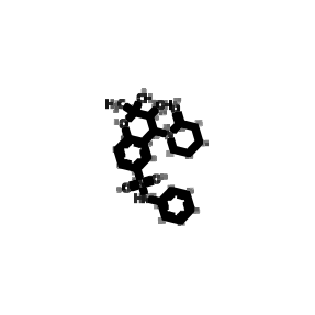 CC1(C)Oc2ccc(S(=O)(=O)Nc3ccccc3)cc2C(N2CCCCC2=O)C1O